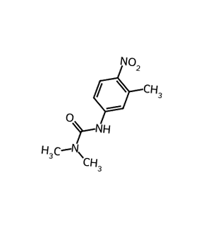 Cc1cc(NC(=O)N(C)C)ccc1[N+](=O)[O-]